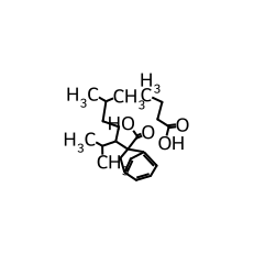 CC(C)CCC(C(C)C)C1(C(=O)O)Cc2cccc1c2.CCCC(=O)O